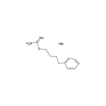 Br.N=C(N)SCCCCc1ccccc1